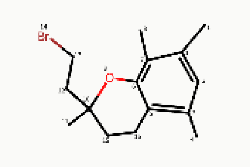 Cc1cc(C)c2c(c1C)OC(C)(CCBr)CC2